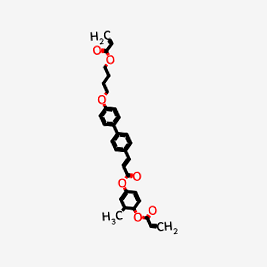 C=CC(=O)OCCCCOc1ccc(-c2ccc(/C=C/C(=O)OC3=CC(C)C(OC(=O)C=C)C=C3)cc2)cc1